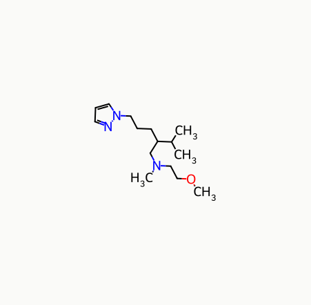 COCCN(C)CC(CCCn1cccn1)C(C)C